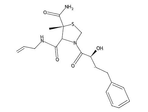 C=CCNC(=O)C1N(C(=O)[C@@H](O)[CH]Cc2ccccc2)CS[C@@]1(C)C(N)=O